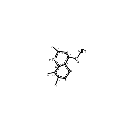 Cc1cc(OC(C)C)c2ccc(C)c(C)c2n1